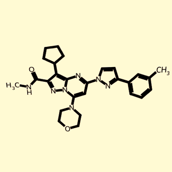 CNC(=O)c1nn2c(N3CCOCC3)cc(-n3ccc(-c4cccc(C)c4)n3)nc2c1C1CCCC1